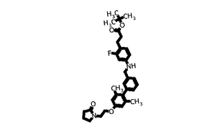 Cc1cc(OCCN2CCCC2=O)cc(C)c1-c1cccc(CNc2ccc(CCC(=O)OC(C)(C)C)c(F)c2)c1